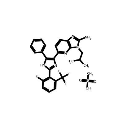 CC(C)Cn1c(N)nc2ccc(-c3nc(-c4c(F)cccc4C(F)(F)F)[nH]c3-c3ccccc3)nc21.CS(=O)(=O)O